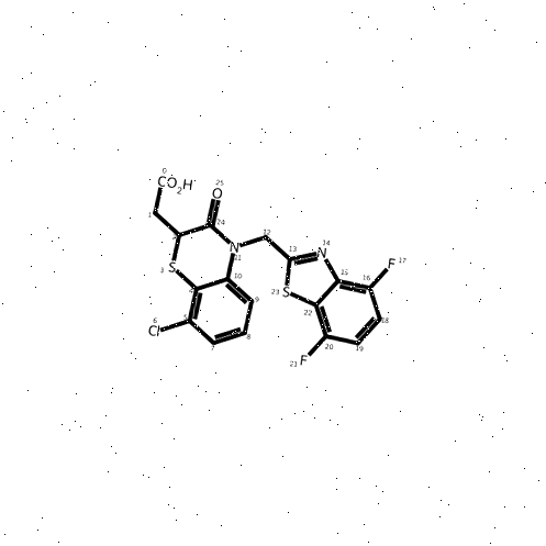 O=C(O)CC1Sc2c(Cl)cccc2N(Cc2nc3c(F)ccc(F)c3s2)C1=O